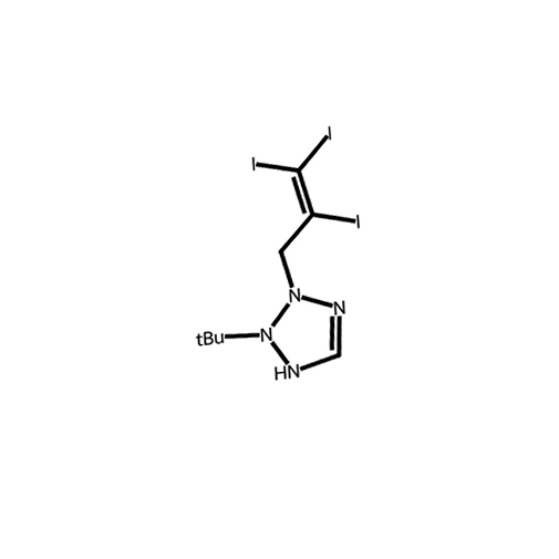 CC(C)(C)N1NC=NN1CC(I)=C(I)I